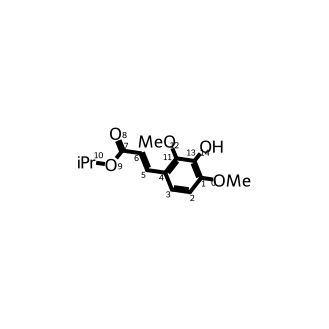 COc1ccc(C=CC(=O)OC(C)C)c(OC)c1O